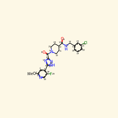 COc1cc(-c2nc(C(=O)N3CCC(C(=O)NCc4cccc(Cl)c4)CC3)n[nH]2)c(F)cn1